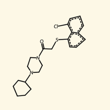 O=C(CSc1cccc2cccc(Cl)c12)N1CCN(C2CCCCC2)CC1